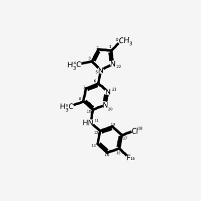 Cc1cc(C)n(-c2cc(C)c(Nc3ccc(F)c(Cl)c3)nn2)n1